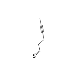 CC#CCCC=S